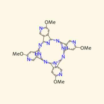 COc1cc2c(cn1)-c1nc-2nc2[nH]c(nc3[n+](C)c(nc4[nH]c(n1)c1cc(OC)ncc41)-c1cc(OC)ncc1-3)c1cc(OC)ncc21